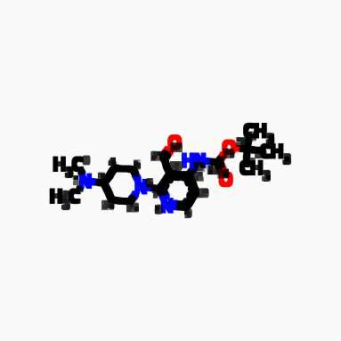 CN(C)C1CCN(c2nccc(NC(=O)OC(C)(C)C)c2C=O)CC1